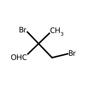 CC(Br)(C=O)CBr